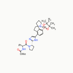 COC(=O)N[C@H](C(=O)N1CCC[C@H]1c1ncc(-c2ccc(B3OC(C)(C)C(C)(C)O3)c3c2CCC32CCCN2C)[nH]1)C(C)C